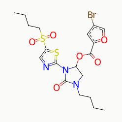 CCCCN1CC(OC(=O)c2cc(Br)co2)N(c2ncc(S(=O)(=O)CCCC)s2)C1=O